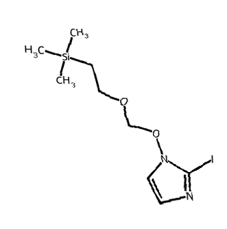 C[Si](C)(C)CCOCOn1ccnc1I